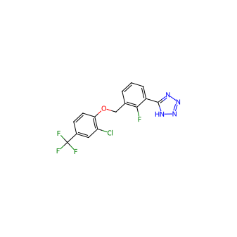 Fc1c(COc2ccc(C(F)(F)F)cc2Cl)cccc1-c1nnn[nH]1